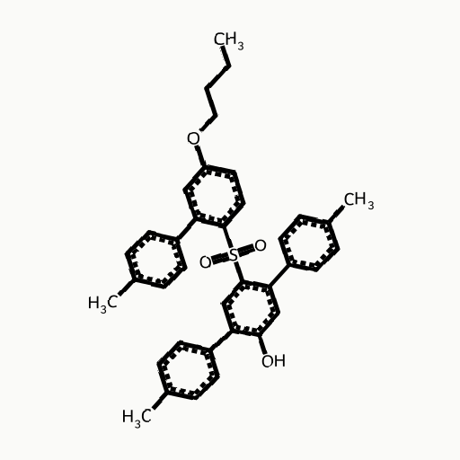 CCCCOc1ccc(S(=O)(=O)c2cc(-c3ccc(C)cc3)c(O)cc2-c2ccc(C)cc2)c(-c2ccc(C)cc2)c1